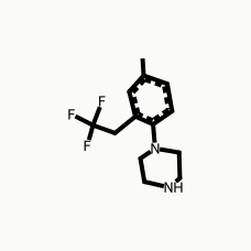 Cc1ccc(N2CCNCC2)c(CC(F)(F)F)c1